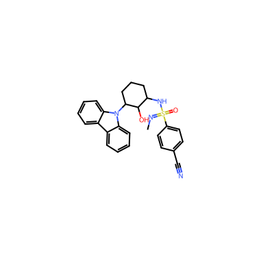 CN=S(=O)(NC1CCCC(n2c3ccccc3c3ccccc32)C1O)c1ccc(C#N)cc1